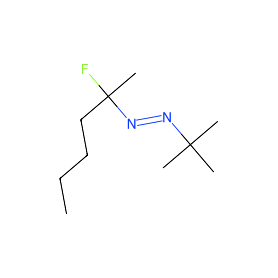 CCCCC(C)(F)N=NC(C)(C)C